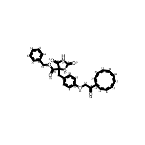 O=C1NC(=O)C(Cc2ccc(OCC(=O)c3ccccccccc3)cc2)(C(=O)OCc2ccccc2)S1